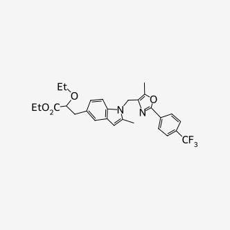 CCOC(=O)C(Cc1ccc2c(c1)cc(C)n2Cc1nc(-c2ccc(C(F)(F)F)cc2)oc1C)OCC